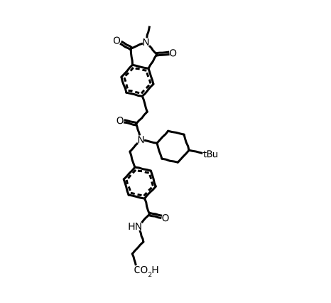 CN1C(=O)c2ccc(CC(=O)N(Cc3ccc(C(=O)NCCC(=O)O)cc3)C3CCC(C(C)(C)C)CC3)cc2C1=O